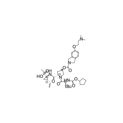 C=C[C@@H]1C[C@]1(NC(=O)[C@@H]1C[C@@H](OC(=O)N2Cc3ccc(OCCN(C)C)cc3C2)CN1C(=O)[C@@H](NC(=O)OC1CCCC1)C(C)(C)C)P(C)(=O)O